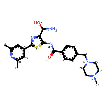 Cc1cc(-c2nc(C(N)O)c(NC(=O)c3ccc(CN4CCN(C)CC4)cc3)s2)cc(C)n1